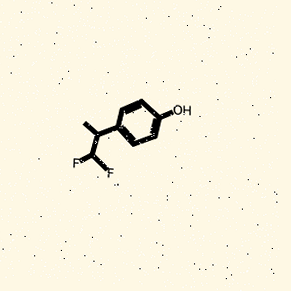 CC(c1ccc(O)cc1)C(F)F